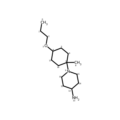 CCCOC1CCC(C)(N2CCC(N)CC2)CC1